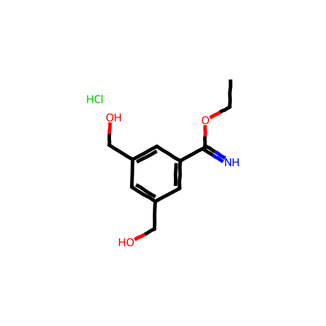 CCOC(=N)c1cc(CO)cc(CO)c1.Cl